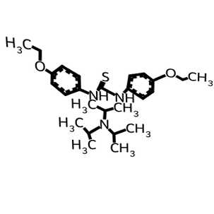 CC(C)N(C(C)C)C(C)C.CCOc1ccc(NC(=S)Nc2ccc(OCC)cc2)cc1